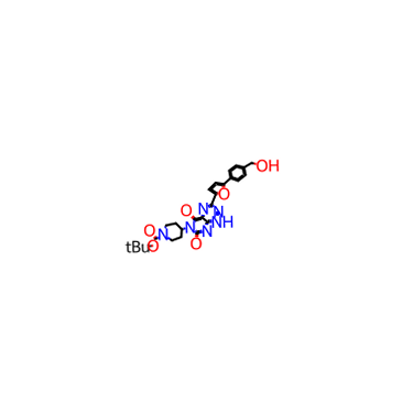 CC(C)(C)OC(=O)N1CCC(n2c(=O)nc3[nH]nc(-c4ccc(-c5ccc(CO)cc5)o4)nc-3c2=O)CC1